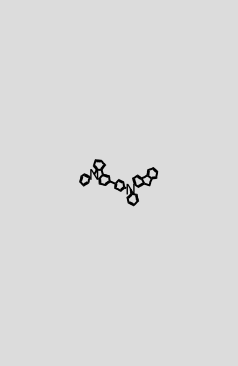 c1ccc(N(c2ccc(-c3ccc4c(c3)c3ccccc3n4-c3ccccc3)cc2)c2ccc3c(c2)Cc2ccccc2-3)cc1